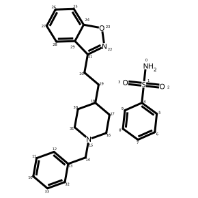 NS(=O)(=O)c1ccccc1.c1ccc(CN2CCC(CCc3noc4ccccc34)CC2)cc1